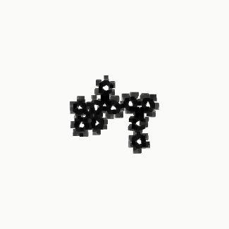 C1=CCCC(n2c3ccc(C4(c5ccccc5)C5=C(CCC=C5)c5ccccc54)cc3c3ccc(-c4ccc5c6ccccc6n(C6=CC=C(c7ccccc7)CC6)c5c4)cc32)=C1